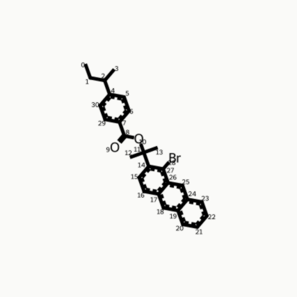 CCC(C)c1ccc(C(=O)OC(C)(C)c2ccc3cc4ccccc4cc3c2Br)cc1